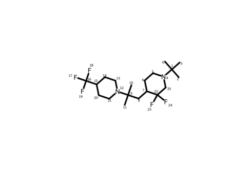 CC(C)(C)N1CCC(CC(C)(C)N2CCC(C(F)(F)F)CC2)C(F)(F)C1